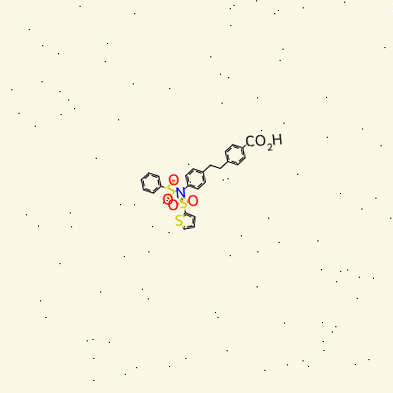 O=C(O)c1ccc(CCc2ccc(N(S(=O)(=O)c3ccccc3)S(=O)(=O)c3cccs3)cc2)cc1